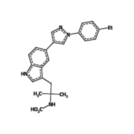 CCc1ccc(-n2cc(-c3ccc4[nH]cc(CC(C)(C)NC(=O)O)c4c3)cn2)cc1